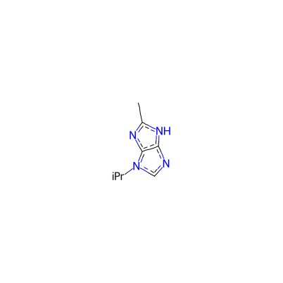 Cc1nc2c(ncn2C(C)C)[nH]1